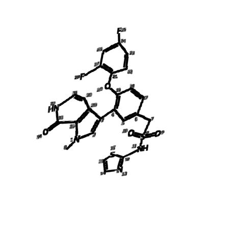 Cn1cc(-c2cc(CS(=O)(=O)Nc3nccs3)ccc2Oc2ccc(F)cc2F)c2cc[nH]c(=O)c21